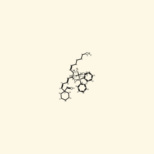 CCCCC/C=C\CC(/C=C/C=C\C1(C=O)CCCCC1)O[Si](c1ccccc1)(c1ccccc1)C(C)(C)C